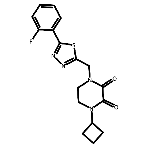 O=C1C(=O)N(C2CCC2)CCN1Cc1nnc(-c2ccccc2F)s1